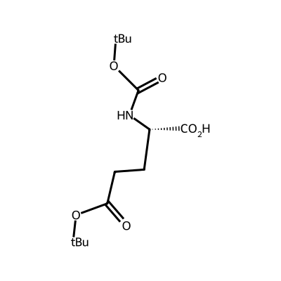 CC(C)(C)OC(=O)CC[C@H](NC(=O)OC(C)(C)C)C(=O)O